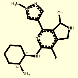 Cn1cc(-c2nc(N[C@@H]3CCCC[C@@H]3N)c(F)c3c2C(O)NC3)cn1